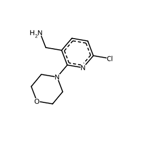 NCc1ccc(Cl)nc1N1CCOCC1